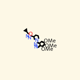 COc1cc2c(N3CCCC(c4nnc(C5CC5)o4)C3)nncc2c(OC)c1OC